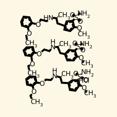 CCOc1ccccc1OCCN[C@H](C)Cc1ccc(OC)c(S(N)(=O)=O)c1.CCOc1ccccc1OCCN[C@H](C)Cc1ccc(OC)c(S(N)(=O)=O)c1.CCOc1ccccc1OCCN[C@H](C)Cc1ccc(OC)c(S(N)(=O)=O)c1.Cl